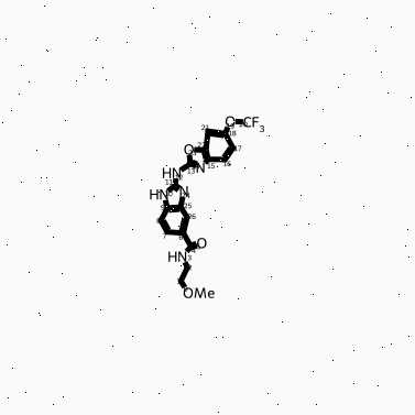 COCCNC(=O)c1ccc2[nH]c(Nc3nc4ccc(OC(F)(F)F)cc4o3)nc2c1